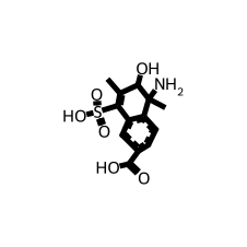 CC1=C(S(=O)(=O)O)c2cc(C(=O)O)ccc2C(C)(N)C1O